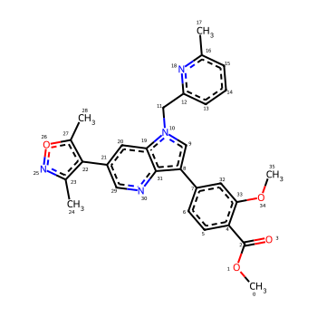 COC(=O)c1ccc(-c2cn(Cc3cccc(C)n3)c3cc(-c4c(C)noc4C)cnc23)cc1OC